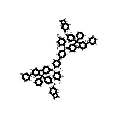 Fc1ccc(N(c2ccc(-c3ccc(N(c4ccc5c(c4)C(c4ccccc4)(c4ccc(Oc6ccc7c(c6)CC7)cc4)c4cc(-c6ccccc6)ccc4-5)c4ccc(F)cc4F)cc3)cc2)c2ccc3c(c2)C(c2ccccc2)(c2ccc(Oc4ccc5c(c4)CC5)cc2)c2cc(-c4ccccc4)ccc2-3)c(F)c1